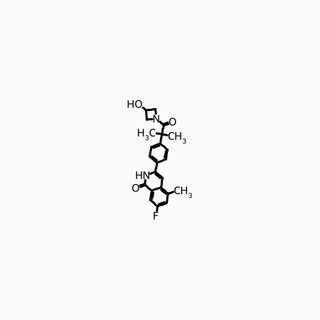 Cc1cc(F)cc2c(=O)[nH]c(-c3ccc(C(C)(C)C(=O)N4CC(O)C4)cc3)cc12